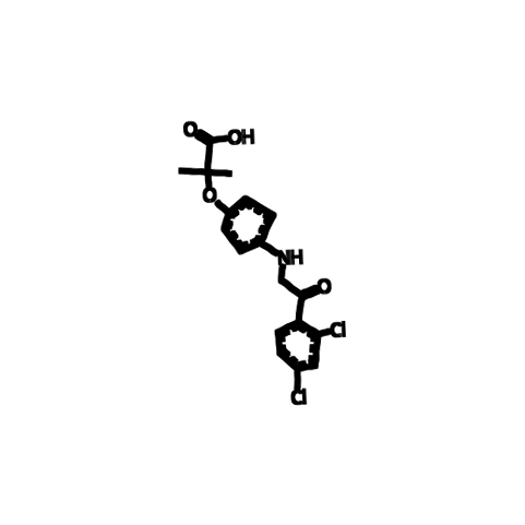 CC(C)(Oc1ccc(NCC(=O)c2ccc(Cl)cc2Cl)cc1)C(=O)O